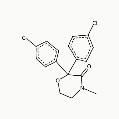 CN1CCOC(c2ccc(Cl)cc2)(c2ccc(Cl)cc2)C1=O